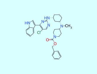 CN(C1CCN(C(=O)OCc2ccccc2)CC1)[C@H]1CCC[C@@H](Nc2ncc(Cl)c(-c3c[nH]c4ccccc34)n2)C1